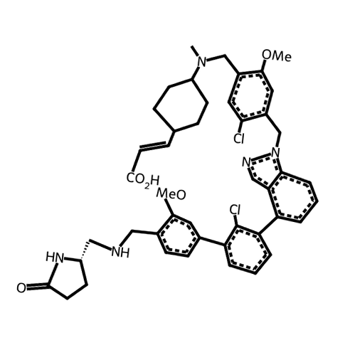 COc1cc(-c2cccc(-c3cccc4c3cnn4Cc3cc(OC)c(CN(C)C4CCC(/C=C/C(=O)O)CC4)cc3Cl)c2Cl)ccc1CNC[C@@H]1CCC(=O)N1